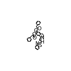 O=C(Cc1ccccc1)Oc1cc2c(cc1OC(=O)Cc1ccccc1)C(CSc1nc3ccccc3s1)NCC2